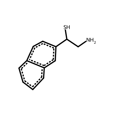 NCC(S)c1ccc2ccccc2c1